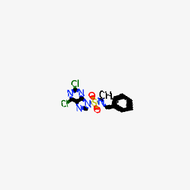 CN(Cc1ccccc1)S(=O)(=O)n1cnc2c(Cl)nc(Cl)nc21